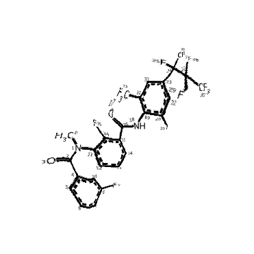 CN(C(=O)c1cccc(F)c1)c1cccc(C(=O)Nc2c(I)cc(C(F)(C(F)(F)F)C(F)(F)C(F)(F)F)cc2C(F)(F)F)c1F